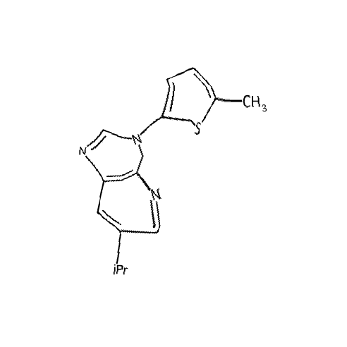 Cc1ccc(-n2cnc3cc(C(C)C)cnc32)s1